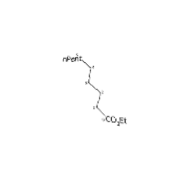 [CH2]COC(=O)CCCCCCCCC